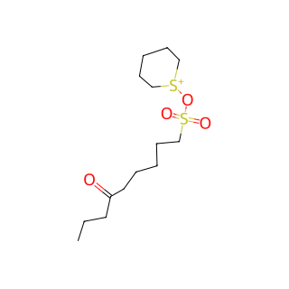 CCCC(=O)CCCCCS(=O)(=O)O[S+]1CCCCC1